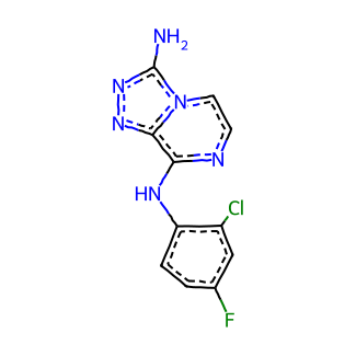 Nc1nnc2c(Nc3ccc(F)cc3Cl)nccn12